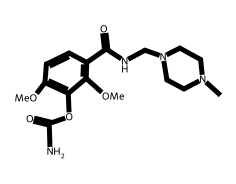 COc1ccc(C(=O)NCN2CCN(C)CC2)c(OC)c1OC(N)=O